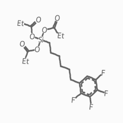 CCC(=O)O[Si](CCCCCCc1cc(F)c(F)c(F)c1F)(OC(=O)CC)OC(=O)CC